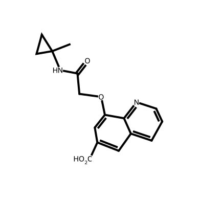 CC1(NC(=O)COc2cc(C(=O)O)cc3cccnc23)CC1